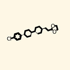 Clc1ccc([C@H]2CC[C@H]([C@H]3CC[C@H](CCC4OCCO4)CC3)CC2)cc1